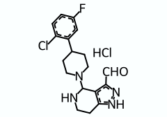 Cl.O=Cc1n[nH]c2c1C(N1CCC(c3cc(F)ccc3Cl)CC1)NCC2